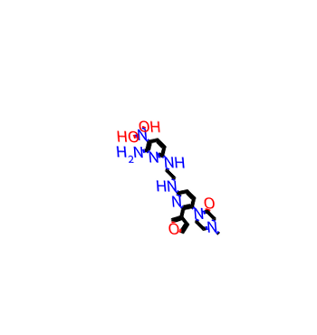 CN1CCN(c2ccc(NCCNc3ccc(N(O)O)c(N)n3)nc2-c2ccoc2)C(=O)C1